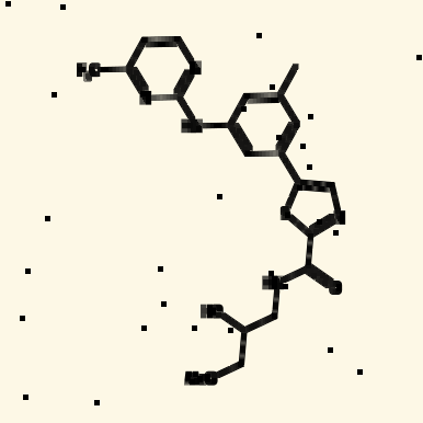 COCC(O)CNC(=O)c1ncc(-c2cc(C)cc(Nc3nccc(C(F)(F)F)n3)c2)s1